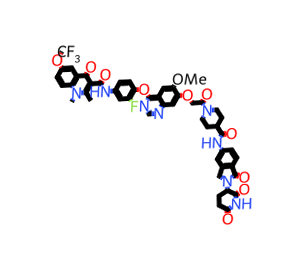 COc1cc2c(Oc3ccc(NC(=O)c4c(C)n(C)c5ccc(OC(F)(F)F)cc5c4=O)cc3F)ncnc2cc1OCC(=O)N1CCC(C(=O)Nc2ccc3c(c2)CN(C2CCC(=O)NC2=O)C3=O)CC1